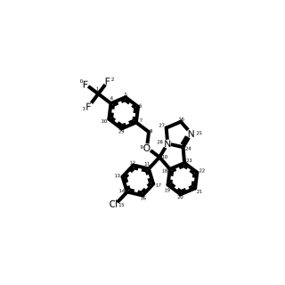 FC(F)(F)c1ccc(COC2(c3ccc(Cl)cc3)c3ccccc3C3=NCCN32)cc1